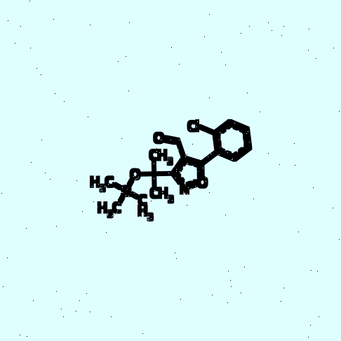 CC(C)(O[Si](C)(C)C)c1noc(-c2ccccc2Cl)c1C=O